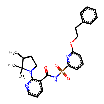 CC1CCN(c2ncccc2C(=O)NS(=O)(=O)c2cccc(OCCc3ccccc3)n2)C1(C)C